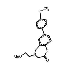 COCCN1CC(=O)Oc2ccc(-c3ccc(OC(F)(F)F)cc3)cc2C1